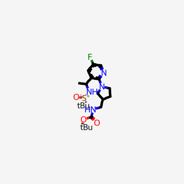 CC(N[S@+]([O-])C(C)(C)C)c1cc(F)cnc1N1CCC(CNC(=O)OC(C)(C)C)C1